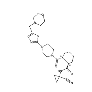 N#CC1(NC(=O)[C@@H]2CCCC[C@H]2C(=O)N2CCN(c3ncc(CN4CCOCC4)s3)CC2)CC1